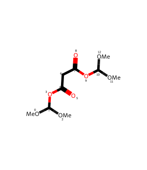 COC(OC)OC(=O)CC(=O)OC(OC)OC